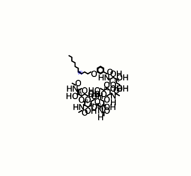 CCCCCC/C=C\CCCOc1cccc(C(=O)NC2C(O[C@@H]3C(CO)OC(OC4C(CO)O[C@@H](O[C@@H]5C(CO)O[C@@H](OC6C(CO)OC[C@@H](NC(C)=O)[C@H]6O)C(NC(C)=O)C5O)[C@@H](NC(C)=O)[C@H]4O)C(NC(C)=O)C3O)OC(CO)[C@@H](O)C2O)c1